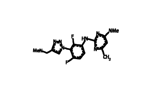 CNCc1cn(-c2c(F)ccc(Nc3nc(C)cc(NC)n3)c2F)nn1